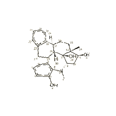 CN(c1ccccc1O)[C@H]1C[C@H](O)[C@@]2(C)CC[C@@H]3c4ccccc4CC[C@H]3[C@@]12O